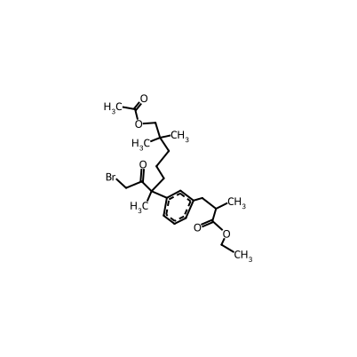 CCOC(=O)C(C)Cc1cccc(C(C)(CCCC(C)(C)COC(C)=O)C(=O)CBr)c1